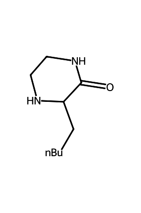 CCCCCC1NCCNC1=O